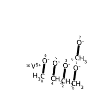 C[O-].C[O-].C[O-].C[O-].C[O-].[V+5]